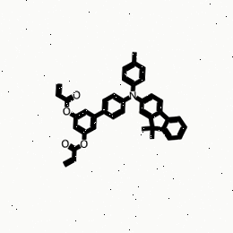 C=CC(=O)Oc1cc(OC(=O)C=C)cc(-c2ccc(N(c3ccc(C)cc3)c3ccc4c(c3)C(C)(C)c3ccccc3-4)cc2)c1